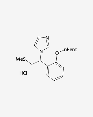 CCCCCOc1ccccc1C(CSC)n1ccnc1.Cl